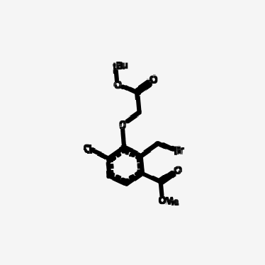 COC(=O)c1ccc(Cl)c(OCC(=O)OC(C)(C)C)c1CBr